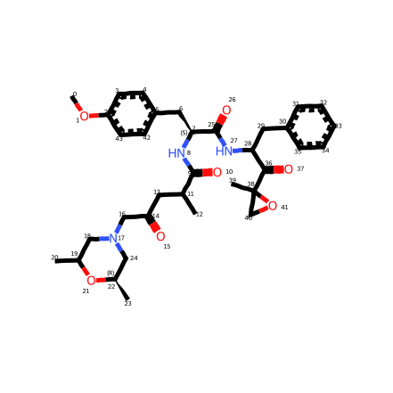 COc1ccc(C[C@H](NC(=O)C(C)CC(=O)CN2CC(C)O[C@H](C)C2)C(=O)NC(Cc2ccccc2)C(=O)C2(C)CO2)cc1